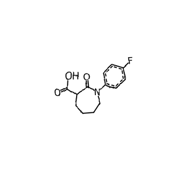 O=C(O)C1CCCCN(c2ccc(F)cc2)C1=O